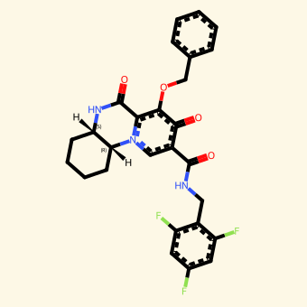 O=C(NCc1c(F)cc(F)cc1F)c1cn2c(c(OCc3ccccc3)c1=O)C(=O)N[C@H]1CCCC[C@H]12